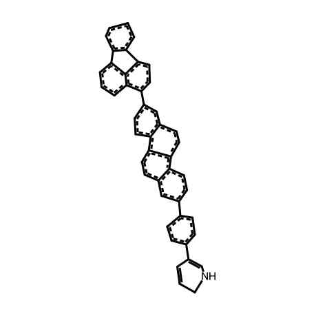 C1=CC(c2ccc(-c3ccc4c(ccc5c6ccc(-c7ccc8c9c(cccc79)-c7ccccc7-8)cc6ccc45)c3)cc2)=CNC1